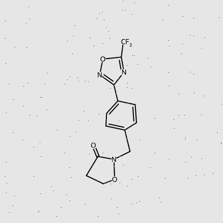 O=C1CCON1Cc1ccc(-c2noc(C(F)(F)F)n2)cc1